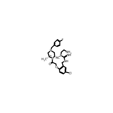 C[C@@H]1CN(Cc2ccc(F)cc2)CCN1C(=O)COc1ccc(Cl)cc1CNC(=N)N(C#N)CCN